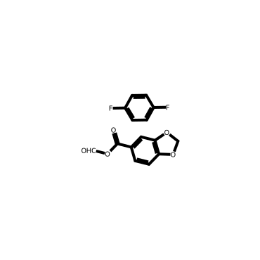 Fc1ccc(F)cc1.O=COC(=O)c1ccc2c(c1)OCO2